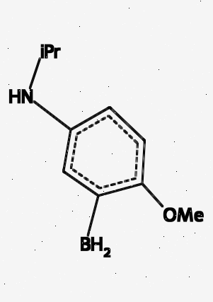 Bc1cc(NC(C)C)ccc1OC